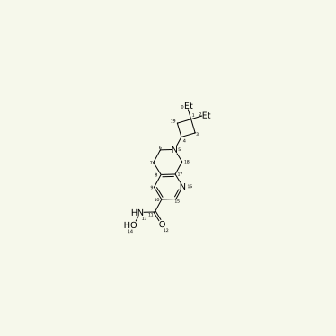 CCC1(CC)CC(N2CCc3cc(C(=O)NO)cnc3C2)C1